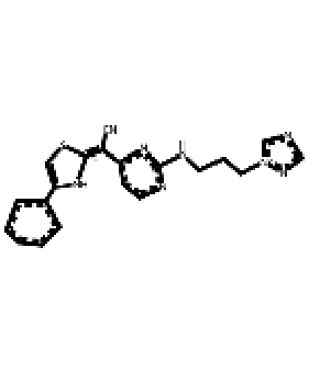 N#C/C(=C1/NC(c2ccccc2)=CS1)c1ccnc(NCCCn2cncn2)n1